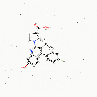 CC(C)c1c(N2CC[C@H](C(=O)O)C2)nc2cc(O)ccc2c1-c1ccc(F)cc1